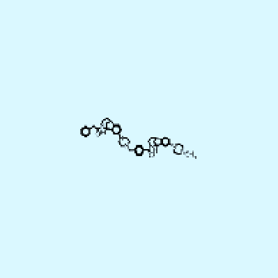 CN1CCN(c2ccc3c(c2)[C@H]2CC3CCN2C(=O)c2ccc(CN3CCN(c4ccc5c(c4)[C@H]4CC5CCN4C(=O)Cc4ccccc4)CC3)cc2)CC1